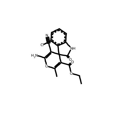 CCOC(=O)C1=C(C)OC(N)=C(C#N)C12C(=O)Nc1cccc(Cl)c12